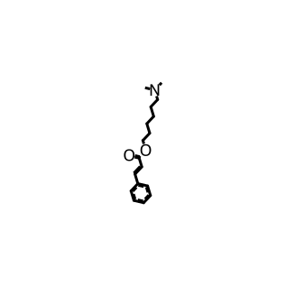 CN(C)CCCCCCOC(=O)C=Cc1ccccc1